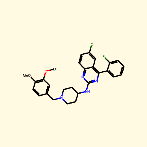 CCOc1cc(CN2CCC(Nc3nc(-c4ccccc4F)c4cc(Cl)ccc4n3)CC2)ccc1OC